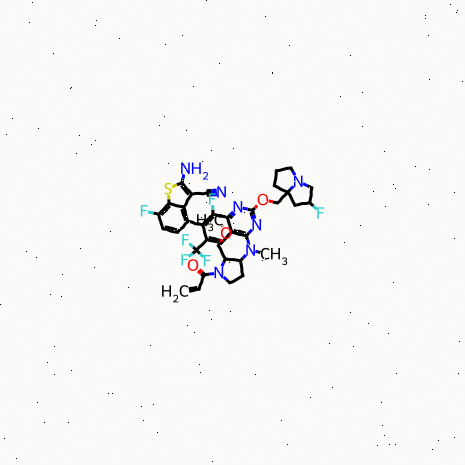 C=CC(=O)N1CCC(N(C)c2nc(OCC34CCCN3CC(F)C4)nc3c(F)c(-c4ccc(F)c5sc(N)c(C#N)c45)c(C(F)(F)F)cc23)C1COC